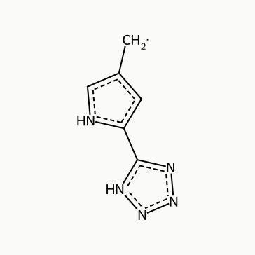 [CH2]c1c[nH]c(-c2nnn[nH]2)c1